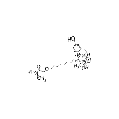 CC(C)N(C)C(=O)COCCCCCCCC[C@H]1C[C@]2(C)[C@@H](O)CC[C@H]2[C@@H]2CCc3cc(O)ccc3[C@@H]12